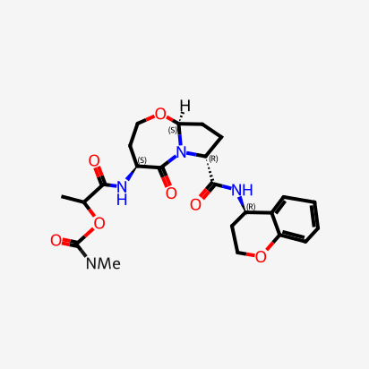 CNC(=O)OC(C)C(=O)N[C@H]1CCO[C@H]2CC[C@H](C(=O)N[C@@H]3CCOc4ccccc43)N2C1=O